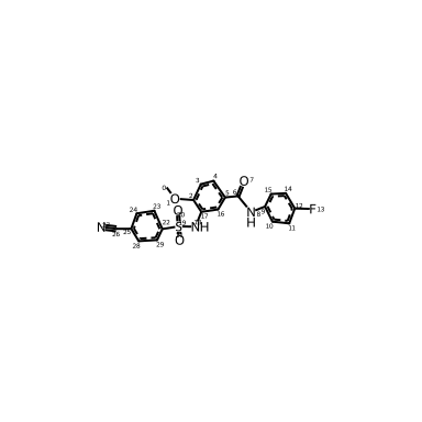 COc1ccc(C(=O)Nc2ccc(F)cc2)cc1NS(=O)(=O)c1ccc(C#N)cc1